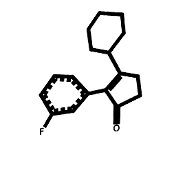 O=C1CCC(C2CCCCC2)=C1c1cccc(F)c1